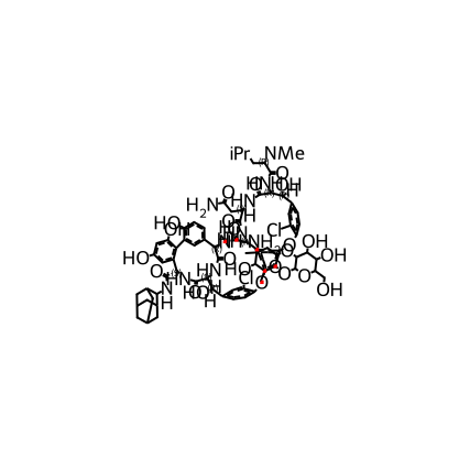 CN[C@H](CC(C)C)C(=O)N[C@H]1C(=O)N[C@@H](CC(N)=O)C(=O)N[C@H]2C(=O)N[C@H]3C(=O)N[C@H](C(=O)N[C@H](C(=O)NC4C5CC6CC(C5)CC4C6)c4cc(O)cc(O)c4-c4cc3ccc4O)[C@H](O)c3ccc(c(Cl)c3)Oc3cc2cc(c3OC2OC(CO)C(O)C(O)C2OC2CC(C)(N)C(O)C(C)O2)Oc2ccc(cc2Cl)[C@H]1O